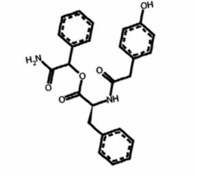 NC(=O)C(OC(=O)[C@H](Cc1ccccc1)NC(=O)Cc1ccc(O)cc1)c1ccccc1